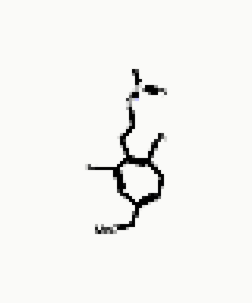 COCC1=CCC(C(C)C)=C(CC/N=[SH](/C)=O)C(C(C)C)=C1